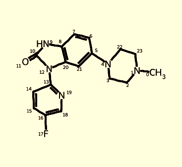 CN1CCN(c2ccc3[nH]c(=O)n(-c4ccc(F)cn4)c3c2)CC1